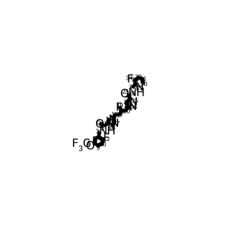 O=C(NCc1cc(OC(F)(F)F)ccc1F)c1cn(CCC(F)Cn2cc(C(=O)NCc3ncccc3F)nn2)nn1